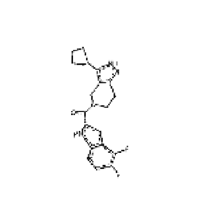 O=C(c1cc2c(F)c(F)ccc2[nH]1)N1CCc2n[nH]c(C3CCC3)c2C1